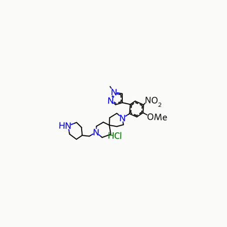 COc1cc(N2CCC3(CCN(CC4CCNCC4)CC3)CC2)c(-c2cnn(C)c2)cc1[N+](=O)[O-].Cl